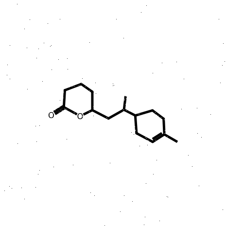 CC1=CCC(C(C)CC2CCCC(=O)O2)CC1